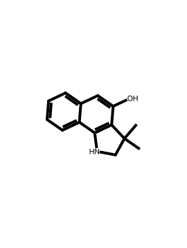 CC1(C)CNc2c1c(O)cc1ccccc21